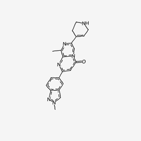 Cc1nc(C2=CCNCC2)cn2c(=O)cc(-c3ccc4nn(C)cc4c3)nc12